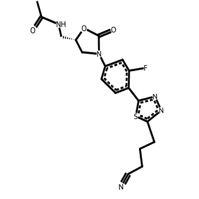 CC(=O)NC[C@H]1CN(c2ccc(-c3nnc(CCCC#N)s3)c(F)c2)C(=O)O1